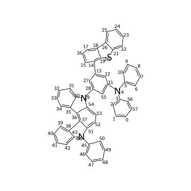 c1ccc(N(c2ccccc2)c2cc(-c3cccc4c3sc3ccccc34)cc(-n3c4ccccc4c4c5c6ccccc6n(-c6ccccc6)c5ccc43)c2)cc1